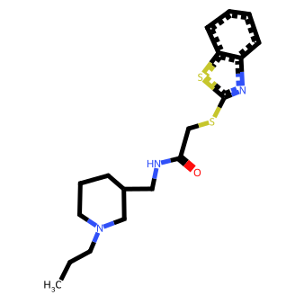 CCCN1CCCC(CNC(=O)CSc2nc3ccccc3s2)C1